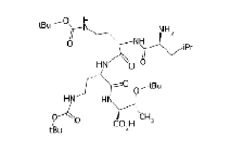 CC(C)C[C@H](N)C(=O)N[C@@H](CCNC(=O)OC(C)(C)C)C(=O)N[C@@H](CCNC(=O)OC(C)(C)C)C(=O)N[C@H](C(=O)O)[C@@H](C)OC(C)(C)C